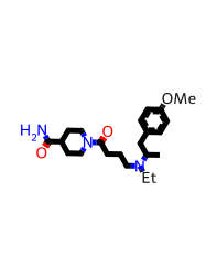 CCN(CCCC(=O)N1CCC(C(N)=O)CC1)C(C)Cc1ccc(OC)cc1